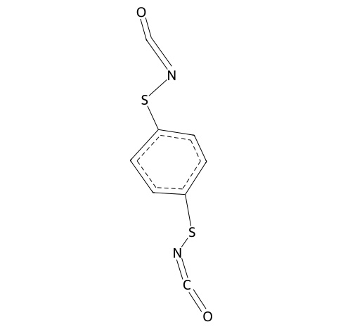 O=C=NSc1ccc(SN=C=O)cc1